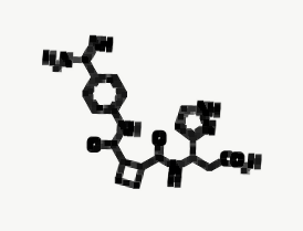 N=C(N)c1ccc(NC(=O)C2CCC2C(=O)NC(CC(=O)O)c2cc[nH]n2)cc1